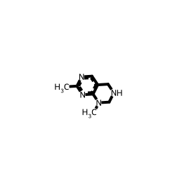 Cc1ncc2c(n1)N(C)CNC2